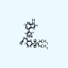 CCN(CC)S(=O)(=O)c1cccc(C(CC#N)n2cc(-c3ncnc4[nH]ccc34)cn2)c1